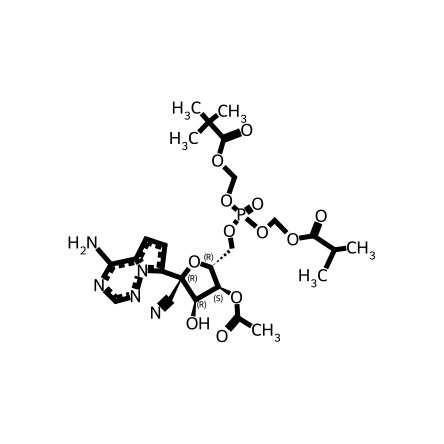 CC(=O)O[C@H]1[C@@H](O)[C@](C#N)(c2ccc3c(N)ncnn23)O[C@@H]1COP(=O)(OCOC(=O)C(C)C)OCOC(=O)C(C)(C)C